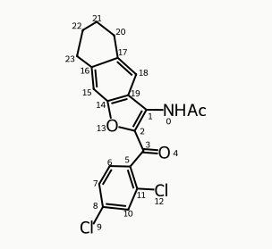 CC(=O)Nc1c(C(=O)c2ccc(Cl)cc2Cl)oc2cc3c(cc12)CCCC3